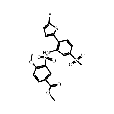 COC(=O)c1ccc(OC)c(S(=O)(=O)Nc2cc(S(C)(=O)=O)ccc2-c2ccc(F)s2)c1